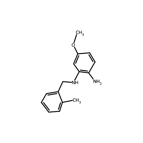 COc1ccc(N)c(NCc2ccccc2C)c1